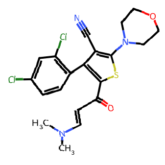 CN(C)/C=C/C(=O)c1sc(N2CCOCC2)c(C#N)c1-c1ccc(Cl)cc1Cl